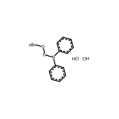 CCCC[O][Ti][N](c1ccccc1)c1ccccc1.Cl.Cl